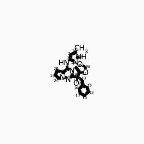 Cc1cc(Nc2nc(C(O)(Cc3ccccc3)C3=COCO3)nn3cccc23)n[nH]1